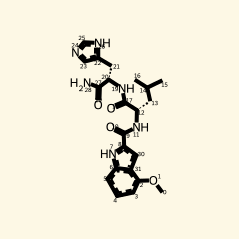 COc1cccc2[nH]c(C(=O)N[C@@H](CC(C)C)C(=O)N[C@@H](Cc3cnc[nH]3)C(N)=O)cc12